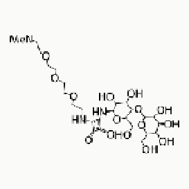 CNCCOCCOCCOCCNc1c(N[C@@H]2OC(CO)[C@@H](O[C@@H]3OC(CO)[C@H](O)[C@H](O)C3O)[C@H](O)C2O)c(=O)c1=O